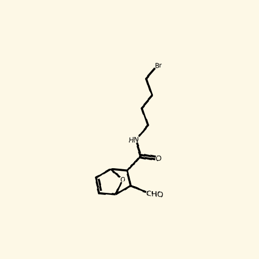 O=CC1C2C=CC(O2)C1C(=O)NCCCCBr